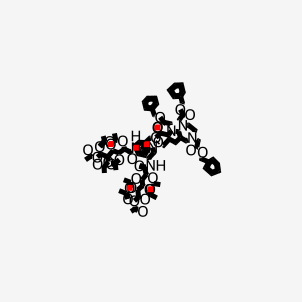 CC(=O)OCC(OC(C)=O)C(OC(C)=O)C(OC(C)=O)C(OC(C)=O)C(=O)NCCN(CCNC(=O)C(OC(C)=O)C(OC(C)=O)C(OC(C)=O)C(COC(C)=O)OC(C)=O)OCCCC1CN(CC(=O)OCc2ccccc2)CCN(CC(=O)OCc2ccccc2)C1N(CC(=O)OCc1ccccc1)CC(=O)OCc1ccccc1